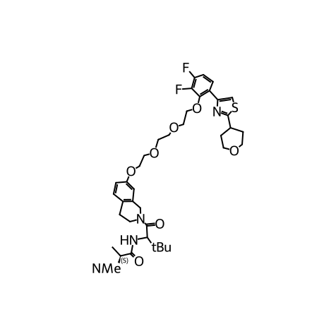 CN[C@@H](C)C(=O)NC(C(=O)N1CCc2ccc(OCCOCCOCCOc3c(-c4csc(C5CCOCC5)n4)ccc(F)c3F)cc2C1)C(C)(C)C